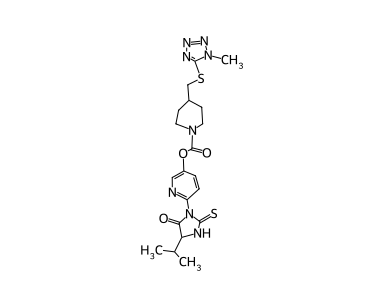 CC(C)C1NC(=S)N(c2ccc(OC(=O)N3CCC(CSc4nnnn4C)CC3)cn2)C1=O